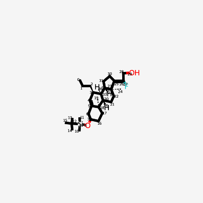 CCC[C@@H]1C=C2CC(O[Si](C)(C)C(C)(C)C)CC[C@]2(C)[C@H]2CC[C@]3(C)C(=C(F)CO)CC[C@H]3[C@H]12